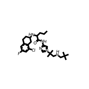 CCCC(NC1CCc2cc(F)cc(Cl)c2C1)C(=O)Nc1cn(C(C)(C)CNCC(C)(C)C)cn1